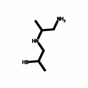 CC(S)CNC(C)CN